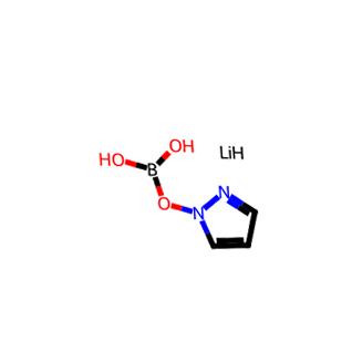 OB(O)On1cccn1.[LiH]